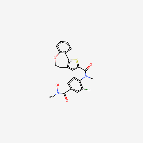 CC(C)N(O)C(=O)c1ccc(N(C)C(=O)c2cc3c(s2)-c2ccccc2OCC3)c(Cl)c1